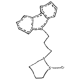 [O-][S+]1CCCCN1CCCn1c2ccccc2c2ccccc21